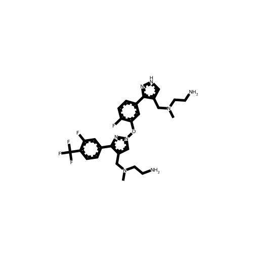 CN(CCN)Cc1c[nH]nc1-c1ccc(F)c(On2cc(CN(C)CCN)c(-c3ccc(C(F)(F)F)c(F)c3)n2)c1